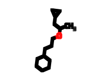 CC(CC1CC1)OCCCC1CCCCC1